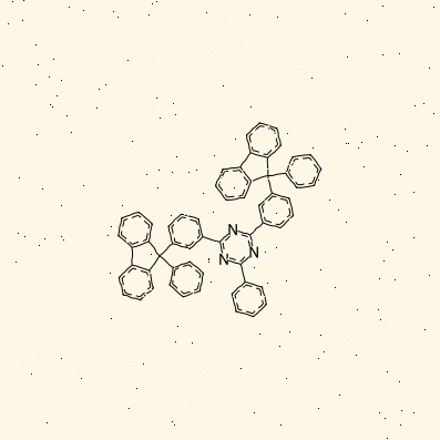 c1ccc(-c2nc(-c3cccc(C4(c5ccccc5)c5ccccc5-c5ccccc54)c3)nc(-c3cccc(C4(c5ccccc5)c5ccccc5-c5ccccc54)c3)n2)cc1